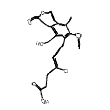 COc1c(C)c2c(c(O)c1CC=C(Cl)CCC(=O)O)C(=O)OC2